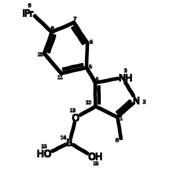 Cc1n[nH]c(-c2ccc(C(C)C)cc2)c1OB(O)O